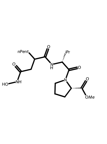 CCCCCC(CC(=O)NO)C(=O)N[C@@H](C(=O)N1CCC[C@H]1C(=O)OC)C(C)C